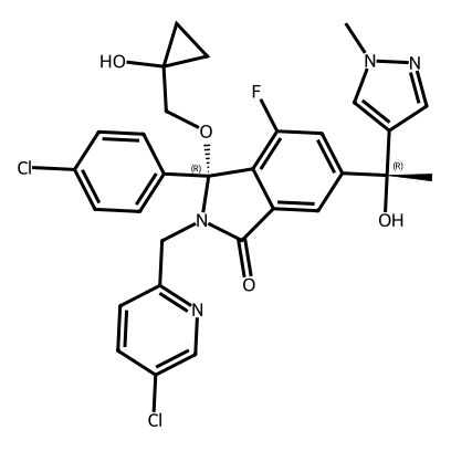 Cn1cc([C@](C)(O)c2cc(F)c3c(c2)C(=O)N(Cc2ccc(Cl)cn2)[C@@]3(OCC2(O)CC2)c2ccc(Cl)cc2)cn1